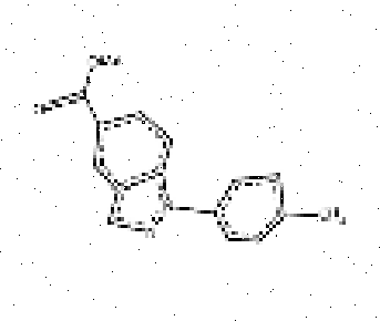 COC(=O)c1ccc2c(cnn2-c2ccc(C)cc2)c1